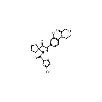 O=C(NC1(C(=O)Nc2ccc(N3CCOCC3=O)c(Cl)c2)CCCC1)c1ccc(Br)s1